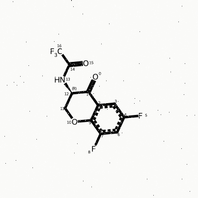 O=C1c2cc(F)cc(F)c2OC[C@H]1NC(=O)C(F)(F)F